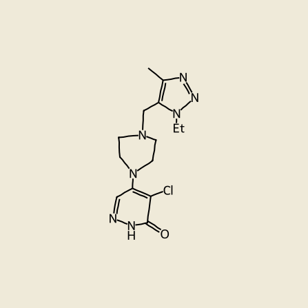 CCn1nnc(C)c1CN1CCN(c2cn[nH]c(=O)c2Cl)CC1